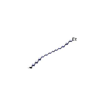 [CH]=C/C=C/C=C/C=C/C=C/C=C/C=C/C=C/C=C/C=C/C=C/C=C/C=C/CC